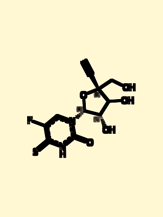 C#C[C@]1(CO)O[C@@H](n2cc(F)c(=S)[nH]c2=O)[C@@H](O)C1O